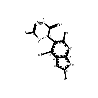 C=C(C)O[C@H](C(=O)OC)c1c(C)nc2sc(C)cc2c1I